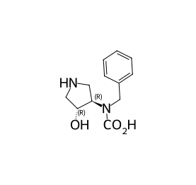 O=C(O)N(Cc1ccccc1)[C@@H]1CNC[C@H]1O